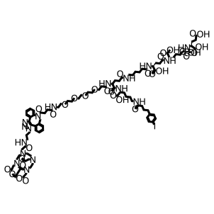 O=C(O)CC[C@H](NP(=O)(O)OCCC[C@H](NC(=O)CC[C@H](NC(=O)CCCCCNC(=O)CCC(NC(=O)CCOCCOCCOCCOCCNC(=O)CCC(=O)N1Cc2ccccc2-c2c(nnn2CCCNC(=O)CN2CCN3CCN4CCN(CC2)CC(=O)OC(OC(=O)C3)OC(=O)C4)-c2ccccc21)C(=O)NC(CCCCNC(=O)CCCc1ccc(I)cc1)C(=O)O)C(=O)O)C(=O)O)C(=O)O